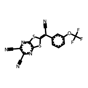 N#CC(=C1Sc2nc(C#N)c(C#N)nc2S1)c1cccc(OC(F)(F)F)c1